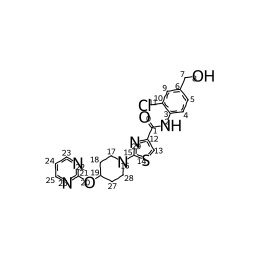 O=C(Nc1ccc(CO)cc1Cl)c1csc(N2CCC(Oc3ncccn3)CC2)n1